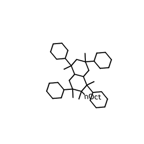 CCCCCCCCC1(C)C(C)(C2CCCCC2)CC2C(CC(C)(C3CCCCC3)CC2(C)C2CCCCC2)C1(C)C1CCCCC1